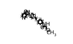 COCCC(=O)N[C@H]1CC[C@H](CCN2CCN(c3noc4ccncc34)CC2)CC1